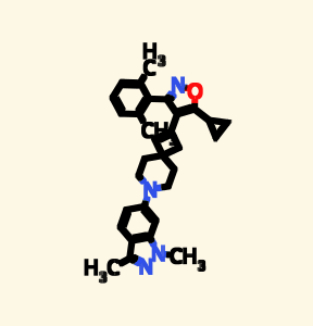 Cc1cccc(C)c1-c1noc(C2CC2)c1C1=CC2(CCN(c3ccc4c(C)nn(C)c4c3)CC2)C1